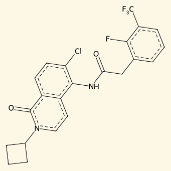 O=C(Cc1cccc(C(F)(F)F)c1F)Nc1c(Cl)ccc2c(=O)n(C3CCC3)ccc12